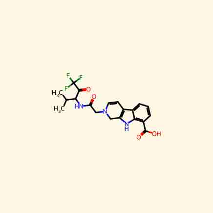 CC(C)C(NC(=O)CN1C=Cc2c([nH]c3c(C(=O)O)cccc23)C1)C(=O)C(F)(F)F